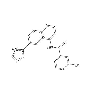 O=C(Nc1ccnc2ccc(-c3c[c]c[nH]3)cc12)c1cccc(Br)c1